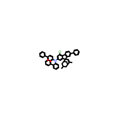 CC1=CC2(c3cc(-c4ccccc4)ccc3-c3c(Cl)cc(N(c4ccc(-c5ccccc5)cc4)c4ccccc4-c4ccccc4)cc32)C2CC(C)CC1C2